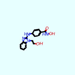 O=C(NO)C1=CCC(Nc2nc3ccccc3n2CCO)C=C1